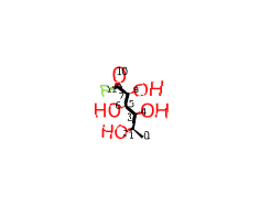 C[C@@H](O)[C@H](O)[C@H](O)[C@@H](O)C(=O)F